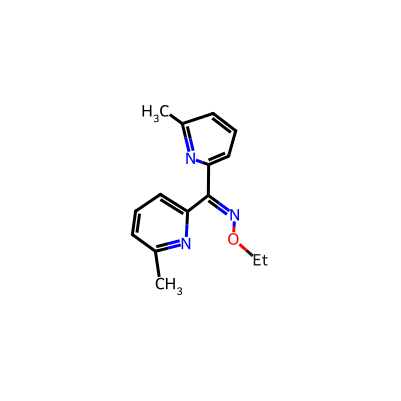 CCON=C(c1cccc(C)n1)c1cccc(C)n1